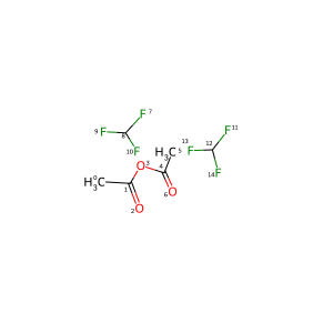 CC(=O)OC(C)=O.FC(F)F.FC(F)F